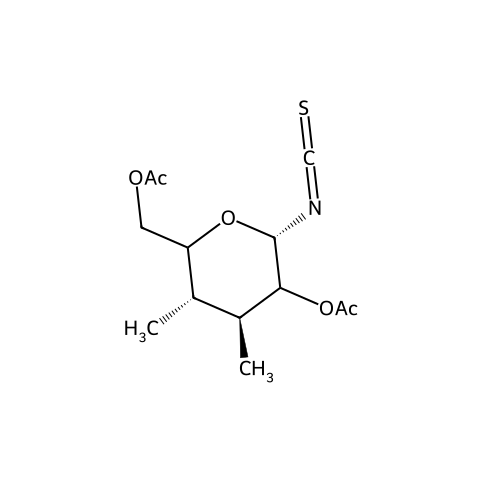 CC(=O)OCC1O[C@H](N=C=S)C(OC(C)=O)[C@@H](C)[C@@H]1C